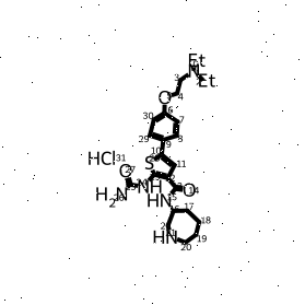 CCN(CC)CCOc1ccc(-c2cc(C(=O)N[C@H]3CCCCNC3)c(NC(N)=O)s2)cc1.Cl